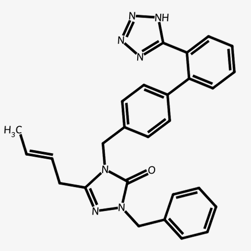 CC=CCc1nn(Cc2ccccc2)c(=O)n1Cc1ccc(-c2ccccc2-c2nnn[nH]2)cc1